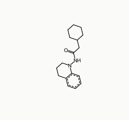 O=C(CC1CCCCC1)NN1CCCc2ccccc21